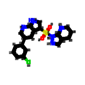 O=S(=O)(c1c[nH]c2ncc(-c3cccc(Cl)c3)cc12)n1ncc2cccnc21